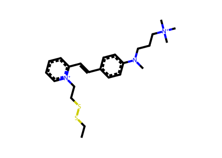 CCSSCC[n+]1ccccc1/C=C/c1ccc(N(C)CCC[N+](C)(C)C)cc1